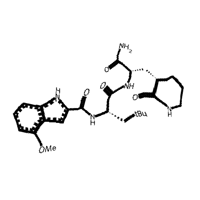 COc1cccc2[nH]c(C(=O)N[C@@H](CC(C)(C)C)C(=O)N[C@@H](C[C@@H]3CCCNC3=O)C(N)=O)cc12